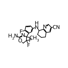 CC1(c2cc(NC3CCCc4cc(C#N)cnc43)ccc2F)N=C(N)OCC1(F)F